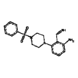 N=Cc1c(N)cccc1N1CCN(S(=O)(=O)c2ccccc2)CC1